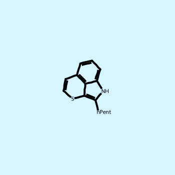 CCCCCc1[nH]c2cccc3c2c1SC=C3